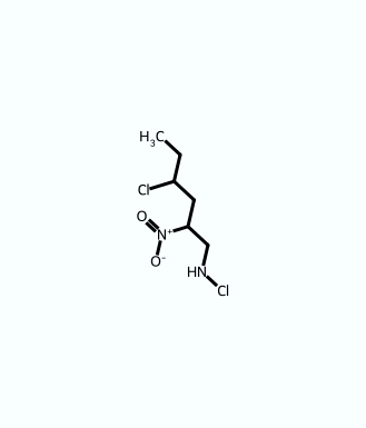 CCC(Cl)CC(CNCl)[N+](=O)[O-]